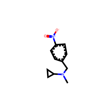 CN(Cc1ccc([N+](=O)[O-])cc1)C1CC1